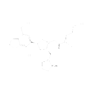 CCCCN(CCCO)C(=O)CN1C[C@H](c2cc(CO)c3c(c2)OCO3)[C@@H](C(=O)O)[C@@H]1CN1CCCC1=O